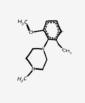 COc1cc[c]c(C)c1N1CCN(C)CC1